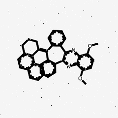 COc1ccc(OC)c2nc3c(nc12)-c1ccccc1C(=C1CCCc2ccc4ccccc4c21)c1ccccc1-3